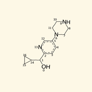 OC(c1ccc(N2CCNCC2)cn1)C1CC1